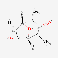 CC1C(=O)[C@@H](C)[C@@H]2O[C@H]1C1O[C@H]12